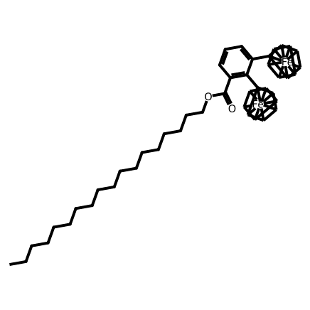 CCCCCCCCCCCCCCCCCCOC(=O)c1cccc([C]23[CH]4[CH]5[CH]6[CH]2[Fe]56432789[CH]3[CH]2[CH]7[CH]8[CH]39)c1[C]12[CH]3[CH]4[CH]5[CH]1[Fe]45321678[CH]2[CH]1[CH]6[CH]7[CH]28